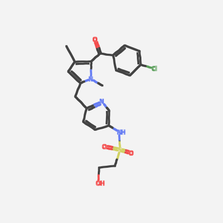 Cc1cc(Cc2ccc(NS(=O)(=O)CCO)cn2)n(C)c1C(=O)c1ccc(Cl)cc1